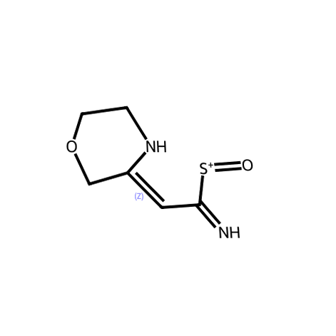 N=C(/C=C1/COCCN1)[S+]=O